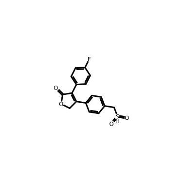 O=C1OCC(c2ccc(C[SH](=O)=O)cc2)=C1c1ccc(F)cc1